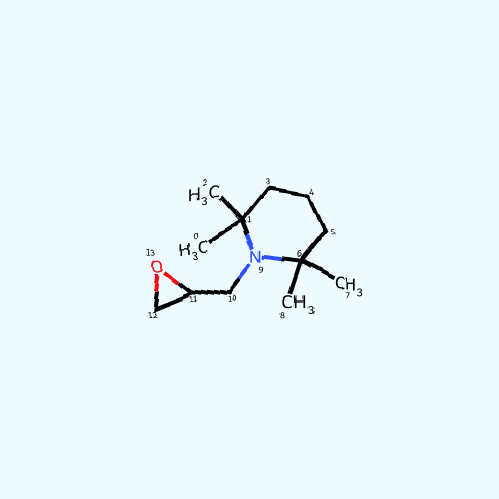 CC1(C)CCCC(C)(C)N1CC1CO1